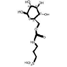 O=C(NCCCS(=O)(=O)O)OC[C@H]1OC(O)[C@H](O)[C@@H](O)[C@@H]1O